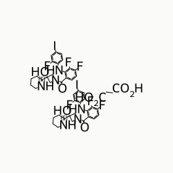 O=C(O)CCC(=O)O.O=C(c1ccc(F)c(F)c1Nc1ccc(I)cc1F)N1CC(O)([C@@H]2CCCCN2)C1.O=C(c1ccc(F)c(F)c1Nc1ccc(I)cc1F)N1CC(O)([C@@H]2CCCCN2)C1